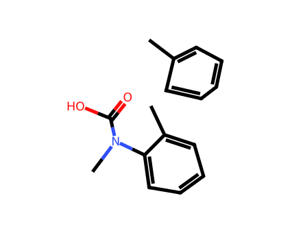 Cc1ccccc1.Cc1ccccc1N(C)C(=O)O